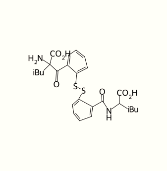 CCC(C)C(NC(=O)c1ccccc1SSc1ccccc1C(=O)C(N)(C(=O)O)C(C)CC)C(=O)O